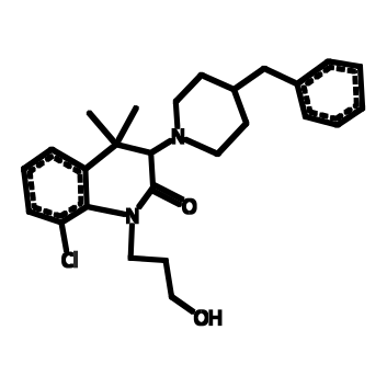 CC1(C)c2cccc(Cl)c2N(CCCO)C(=O)C1N1CCC(Cc2ccccc2)CC1